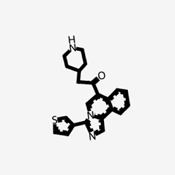 O=C(CC1CCNCC1)c1cn2c(-c3ccsc3)ncc2c2ccccc12